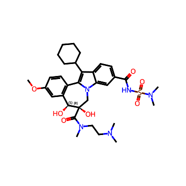 COc1ccc2c(c1)[C@H](O)[C@@](O)(C(=O)N(C)CCN(C)C)Cn1c-2c(C2CCCCC2)c2ccc(C(=O)NS(=O)(=O)N(C)C)cc21